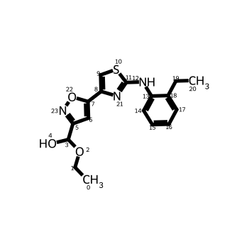 CCOC(O)c1cc(-c2csc(Nc3ccccc3CC)n2)on1